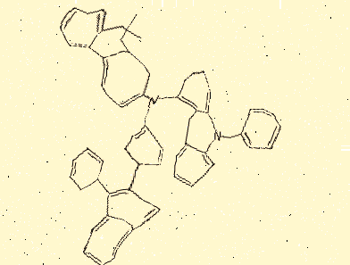 CC1(C)c2ccccc2C2=CC=C(N(C3=CCC(c4ccc5ccccc5c4C4C=CC=CC4)C=C3)C3=c4c(n(-c5ccccc5)c5ccccc45)=CCC3)CC21